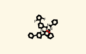 Fc1cccc(F)c1-c1ccc(-n2c3ccccc3c3ccc(-c4ccccc4)cc32)c(-c2nc(-c3ccccc3)nc(-c3ccccc3)n2)c1